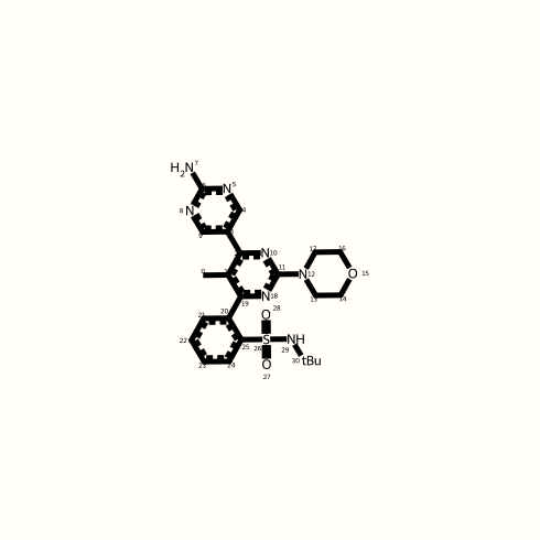 Cc1c(-c2cnc(N)nc2)nc(N2CCOCC2)nc1-c1ccccc1S(=O)(=O)NC(C)(C)C